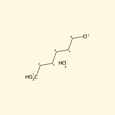 Cl.O=C(O)CCCCCCl